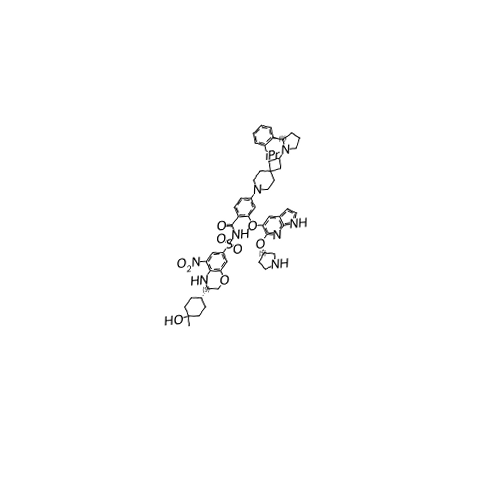 CC(C)c1ccccc1[C@H]1CCCN1C1CC2(CCN(c3ccc(C(=O)NS(=O)(=O)c4cc5c(c([N+](=O)[O-])c4)N[C@@H](C4CCC(C)(O)CC4)CO5)c(Oc4cc5cc[nH]c5nc4O[C@H]4CCNC4)c3)CC2)C1